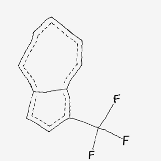 FC(F)(F)c1ccc2cccccc1-2